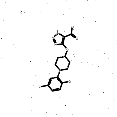 O=C(O)c1[nH]nnc1OC1CCN(c2cc(Cl)ccc2Cl)CC1